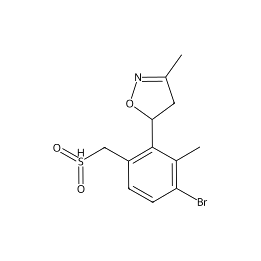 CC1=NOC(c2c(C[SH](=O)=O)ccc(Br)c2C)C1